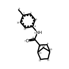 Cc1ccc(NC(=O)C2CC3CCC2C3)cc1